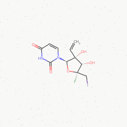 C=C[C@]1(O)[C@H](n2ccc(=O)[nH]c2=O)O[C@](F)(CI)[C@H]1O